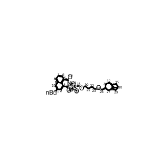 CCCCc1cc2c3c(cccc3c1)C(=O)N(OS(=O)(=O)COCCCCOCC1CC3CC4CC(C1)C3C4)C2=O